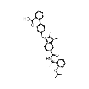 Cc1c(C)n(Cc2ccc(-c3ccccc3C(=O)O)cc2)c2ccc(C(=O)N[C@@H](C)c3ccccc3OC(C)C)cc12